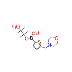 CC(C)(O)C(C)(C)OB(O)c1ccc(CN2CCOCC2)s1